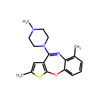 Cc1cc2c(s1)Oc1cccc(C)c1N=C2N1CCN(C)CC1